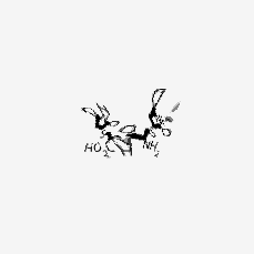 NC(CSC1CC(=O)NC1=O)C(=O)NC(CSC1CC(=O)NC1=O)C(=O)O